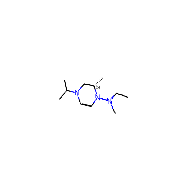 CCN(C)N1CCN(C(C)C)C[C@@H]1C